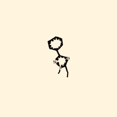 CCc1nc(-c2ccccc2)nn1C